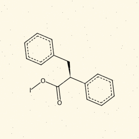 O=C(OI)[C@@H](Cc1ccccc1)c1ccccc1